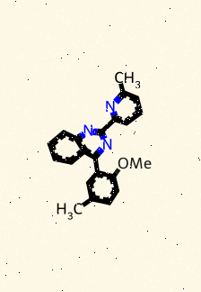 COc1ccc(C)cc1-c1nc(-c2cccc(C)n2)nc2ccccc12